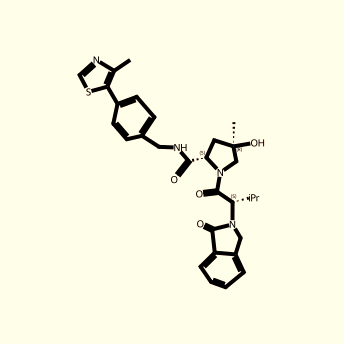 Cc1ncsc1-c1ccc(CNC(=O)[C@@H]2C[C@@](C)(O)CN2C(=O)[C@H](C(C)C)N2Cc3ccccc3C2=O)cc1